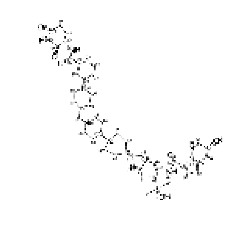 CC(C)(O)c1cc2nn(C3CCC(N4CCN(CC5CCN(c6cccc(C(=O)N[C@H]7CCC(=O)NC7=O)c6)CC5)CC4)CC3)cc2cc1NC(=O)c1ccc2cc(C#N)cnn12